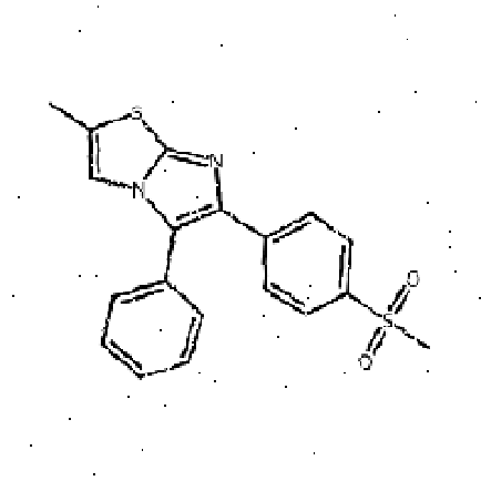 Cc1cn2c(-c3ccccc3)c(-c3ccc(S(C)(=O)=O)cc3)nc2s1